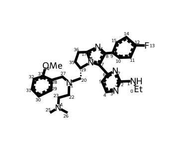 CCNc1nccc(-c2c(-c3ccc(F)cc3)nc3n2[C@H](CN(CCN(C)C)Cc2ccccc2OC)CC3)n1